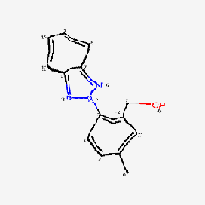 Cc1ccc(-n2nc3ccccc3n2)c(CO)c1